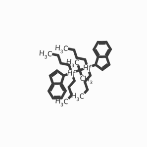 CCC[CH2][Hf]([CH2]CCC)([CH]1C=Cc2ccccc21)[C](C)(C)[Hf]([CH2]CCC)([CH2]CCC)[CH]1C=Cc2ccccc21